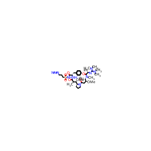 CC[C@H](C)[C@@H]([C@H](CC(=O)N1CCC[C@H]1[C@H](OC)[C@@H](C)C(=O)N[C@@H](Cc1ccccc1)C(=O)NS(=O)(=O)CCCN=[N+]=[N-])OC)N(C)C(=O)[C@@H](N=C(N(C)C)N(C)C)C(C)C